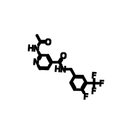 CC(=O)Nc1cc(C(=O)NCc2ccc(F)c(C(F)(F)F)c2)ccn1